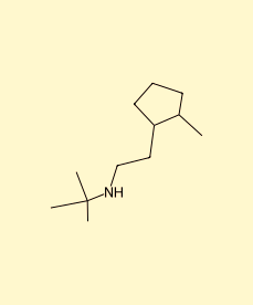 CC1CCCC1CCNC(C)(C)C